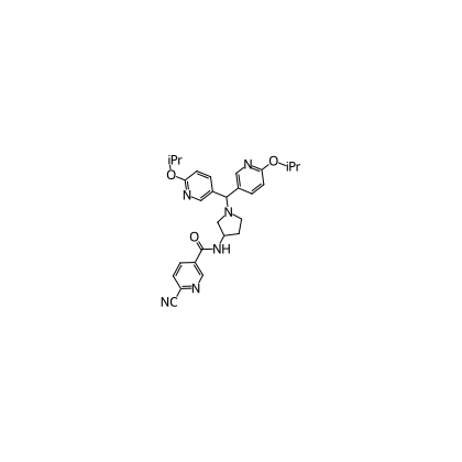 CC(C)Oc1ccc(C(c2ccc(OC(C)C)nc2)N2CCC(NC(=O)c3ccc(C#N)nc3)C2)cn1